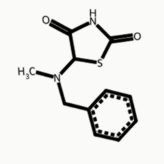 CN(Cc1ccccc1)C1SC(=O)NC1=O